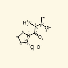 C[C@@H](O)[C@H](N)C(=O)N1CCC[C@H]1[C]=O